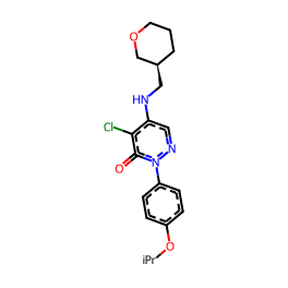 CC(C)Oc1ccc(-n2ncc(NC[C@@H]3CCCOC3)c(Cl)c2=O)cc1